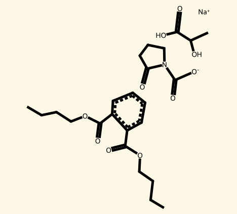 CC(O)C(=O)O.CCCCOC(=O)c1ccccc1C(=O)OCCCC.O=C([O-])N1CCCC1=O.[Na+]